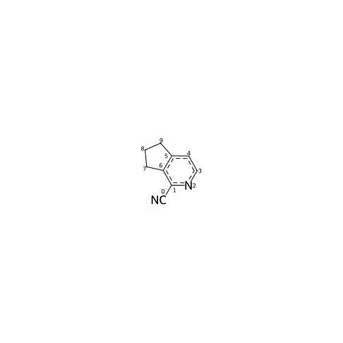 N#Cc1nccc2c1CCC2